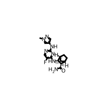 Cn1cc(Nc2ncc(F)c(N[C@H]3[C@@H]4CC[C@@H](C4)[C@H]3C(N)=O)n2)cn1